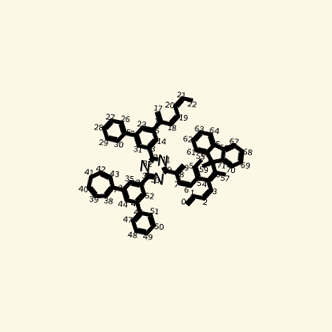 C=C\C=C/C(C(/C=C\C(=C)c1nc(-c2cc(C(=C)/C=C\C=C/C)cc(-c3ccccc3)c2)nc(-c2cc(C3=CC=CCC=C3)cc(-c3ccccc3)c2)n1)=C\C)=C(\C)C1(C)c2ccccc2-c2ccccc21